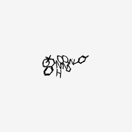 Cc1ccc(CN(C)C(=O)C2CCCN2C(=O)NC2CC(C)(C)Oc3ccccc32)cc1